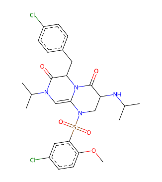 COc1ccc(Cl)cc1S(=O)(=O)N1CC(NC(C)C)C(=O)N2C1=CN(C(C)C)C(=O)C2Cc1ccc(Cl)cc1